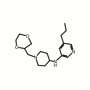 CCCc1cncc(NC2CCN(CC3COCCO3)CC2)c1